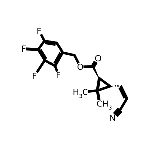 CC1(C)[C@@H](/C=C\C#N)[C@@H]1C(=O)OCc1cc(F)c(F)c(F)c1F